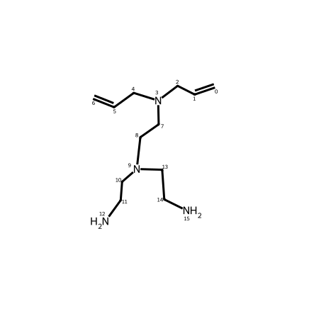 C=CCN(CC=C)CCN(CCN)CCN